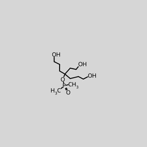 CP(C)(=O)OC(CCO)(CCCO)CCCO